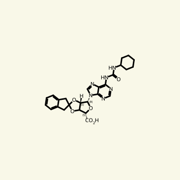 O=C(Nc1ncnc2c1ncn2[C@@H]1O[C@H](C(=O)O)C2OC3(Cc4ccccc4C3)O[C@@H]21)NC1CCCCC1